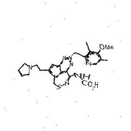 COc1c(C)cnc(Cn2nc3cc(CCN4CCCC4)c4c-3c(n2)C(NC(=O)O)=NSC4)c1C